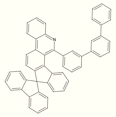 c1ccc(-c2cccc(-c3cccc(-c4nc5ccccc5c5ccc6c(c45)-c4ccccc4C64c5ccccc5-c5ccccc54)c3)c2)cc1